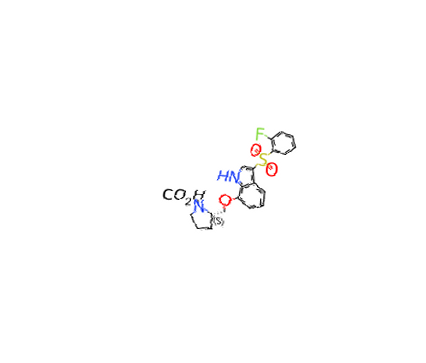 O=C(O)N1CCC[C@H]1COc1cccc2c(S(=O)(=O)c3ccccc3F)c[nH]c12